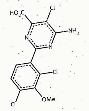 COc1c(Cl)ccc(-c2nc(N)c(Cl)c(C(=O)O)n2)c1Cl